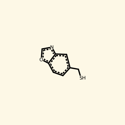 SCc1ccc2ocnc2c1